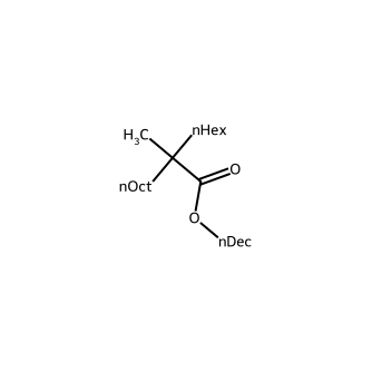 CCCCCCCCCCOC(=O)C(C)(CCCCCC)CCCCCCCC